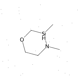 CN1CCOC[SiH]1C